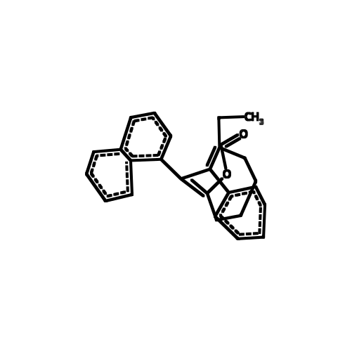 CC/C1=C(c2ccccc2)\C(c2cccc3ccccc23)=C(/OC=O)CCCC1